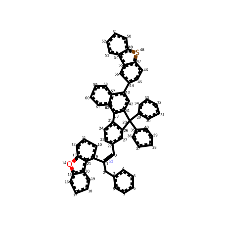 C(=C(\Cc1ccccc1)c1cccc2oc3ccccc3c12)/c1ccc2c(c1)C(c1ccccc1)(c1ccccc1)c1cc(-c3ccc4sc5ccccc5c4c3)c3ccccc3c1-2